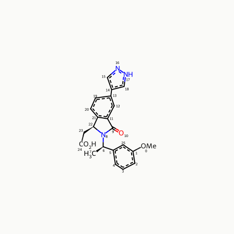 COc1cccc([C@@H](C)N2C(=O)c3cc(-c4cn[nH]c4)ccc3[C@@H]2CC(=O)O)c1